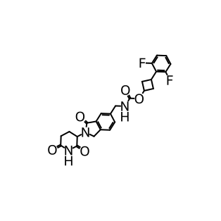 O=C1CCC(N2Cc3ccc(CNC(=O)OC4CC(c5c(F)cccc5F)C4)cc3C2=O)C(=O)N1